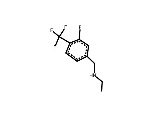 CCNCc1ccc(C(F)(F)F)c(F)c1